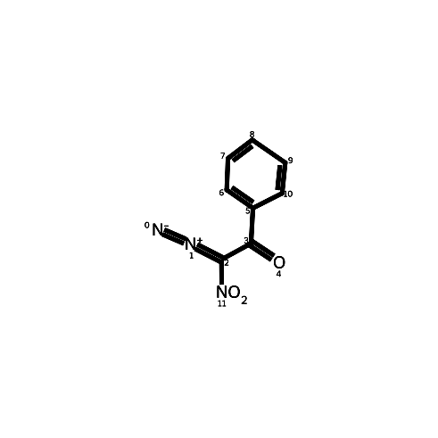 [N-]=[N+]=C(C(=O)c1ccccc1)[N+](=O)[O-]